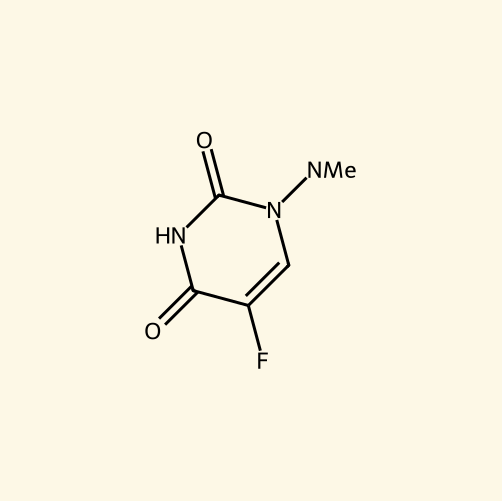 CNn1cc(F)c(=O)[nH]c1=O